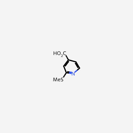 CSc1cc(C(=O)O)ccn1